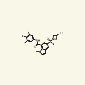 Cn1ccc2cc(S(=O)(=O)N3CC(O)C3)cc(C(=O)Nc3cc(F)c(F)c(F)c3)c21